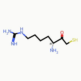 N=C(N)NCCCC[C@@H](N)C(=O)CS